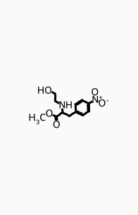 COC(=O)C(Cc1ccc([N+](=O)[O-])cc1)NCCO